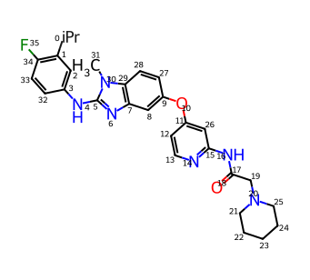 CC(C)c1cc(Nc2nc3cc(Oc4ccnc(NC(=O)CN5CCCCC5)c4)ccc3n2C)ccc1F